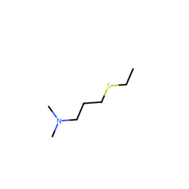 CCSCCCN(C)C